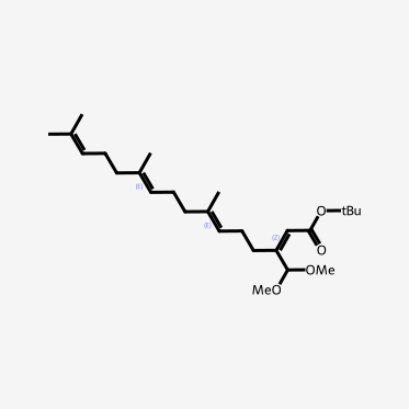 COC(OC)/C(=C\C(=O)OC(C)(C)C)CC/C=C(\C)CC/C=C(\C)CCC=C(C)C